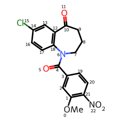 COc1cc(C(=O)N2CCCC(=O)c3cc(Cl)ccc32)ccc1[N+](=O)[O-]